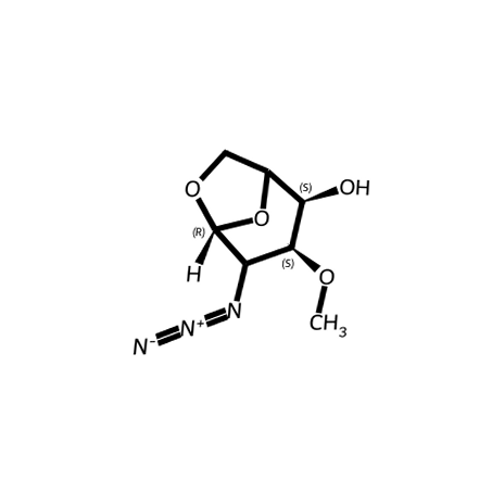 CO[C@H]1C(N=[N+]=[N-])[C@@H]2OCC(O2)[C@H]1O